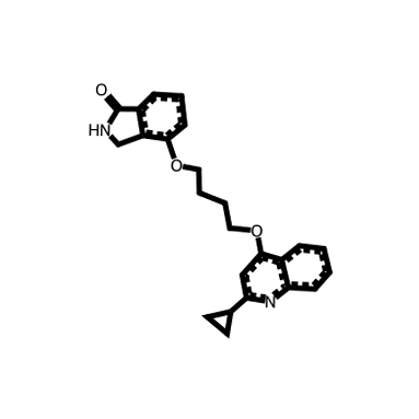 O=C1NCc2c(OCCCCOc3cc(C4CC4)nc4ccccc34)cccc21